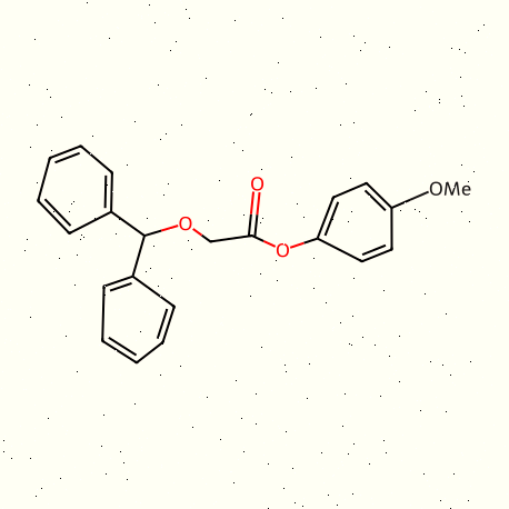 COc1ccc(OC(=O)COC(c2ccccc2)c2ccccc2)cc1